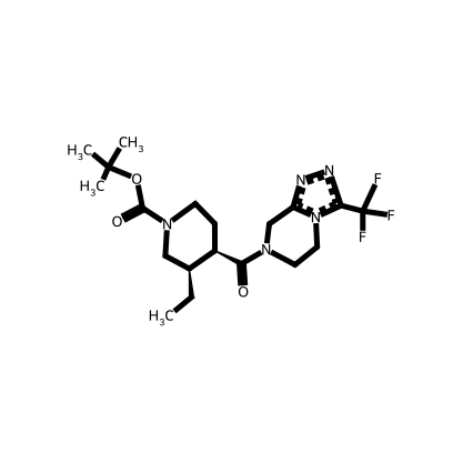 CC[C@H]1CN(C(=O)OC(C)(C)C)CC[C@H]1C(=O)N1CCn2c(nnc2C(F)(F)F)C1